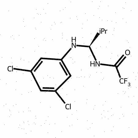 CC(C)[C@@H](NC(=O)C(F)(F)F)Nc1cc(Cl)cc(Cl)c1